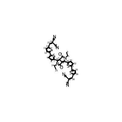 CCN1C(=O)C2=C(c3ccc(-c4ccc(C=C(C#N)C#N)s4)s3)N(CC)C(=O)C2=C1c1ccc(-c2ccc(C=C(C#N)C#N)s2)s1